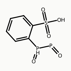 O=P[PH](=O)c1ccccc1S(=O)(=O)O